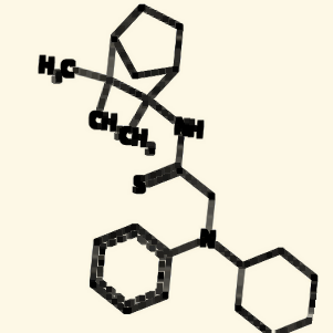 CC1(C)C2CCC(C2)C1(C)NC(=S)CN(c1ccccc1)C1CCCCC1